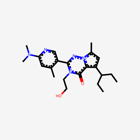 CCC(CC)c1cc(C)n2nc(-c3cnc(N(C)C)cc3C)n(CCO)c(=O)c12